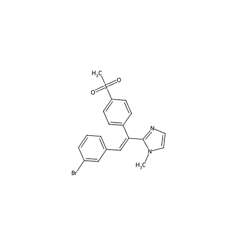 Cn1ccnc1C(=Cc1cccc(Br)c1)c1ccc(S(C)(=O)=O)cc1